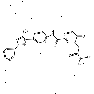 CCN(CC)C(=O)Cn1cc(C(=O)Nc2ccc(-n3nc(-c4cccnc4)cc3C(F)(F)F)cn2)ccc1=O